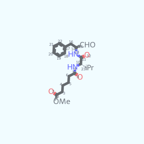 COC(=O)CCCCC(=O)N[C@H](C(=O)NC(C=O)Cc1ccccc1)C(C)C